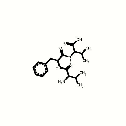 CC(C)C(N)C(=O)NC(Cc1ccccc1)C(=O)NC(C(=O)O)C(C)C